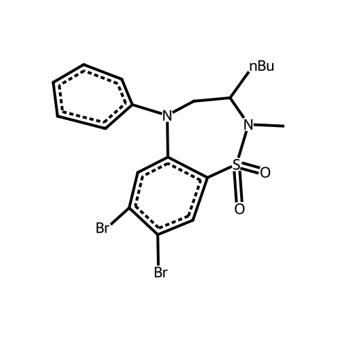 CCCCC1CN(c2ccccc2)c2cc(Br)c(Br)cc2S(=O)(=O)N1C